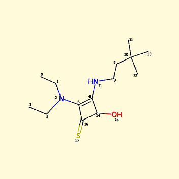 CCN(CC)C1=C(NCCC(C)(C)C)C(O)C1=S